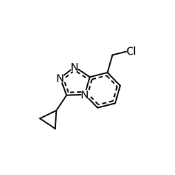 ClCc1cccn2c(C3CC3)nnc12